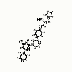 Cn1c(N2CCO[C@@H](c3ccc(OC[C@@H](O)CN4CCCC4)cc3)C2)nc(-c2ccncc2)cc1=O